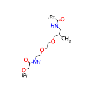 CC(CNC(=O)C(C)C)COCCOCCNC(=O)COC(C)C